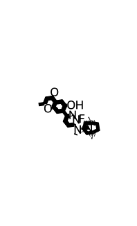 Cc1cc(=O)c2cc(O)c(-c3ccc(N(C)[C@H]4C[C@]5(C)CC[C@](C)([C@H]4F)N5C)nn3)cc2o1